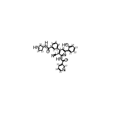 N#Cc1c(-c2cccc(C(=O)NC3CCNC3)c2)cc(-c2ccccc2O)nc1NC(=O)c1cccnc1